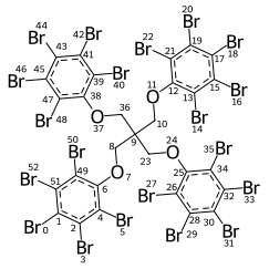 Brc1c(Br)c(Br)c(OCC(COc2c(Br)c(Br)c(Br)c(Br)c2Br)(COc2c(Br)c(Br)c(Br)c(Br)c2Br)COc2c(Br)c(Br)c(Br)c(Br)c2Br)c(Br)c1Br